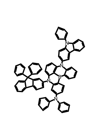 c1ccc(N(c2ccccc2)c2ccc3c(c2)N(c2ccc4c(c2)C(c2ccccc2)(c2ccccc2)c2ccccc2-4)c2cccc4c2B3c2ccccc2N4c2ccc3c(c2)c2ccccc2n3-c2ccccc2)cc1